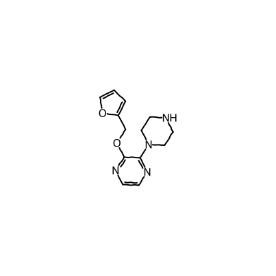 c1coc(COc2nccnc2N2CCNCC2)c1